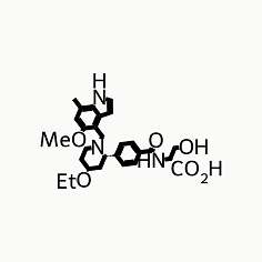 CCO[C@@H]1CCN(Cc2c(OC)cc(C)c3[nH]ccc23)[C@H](c2ccc(C(=O)N[C@@H](CO)C(=O)O)cc2)C1